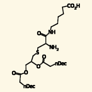 CCCCCCCCCCCC(=O)OCC(CSCC(N)C(=O)NCCCCCC(=O)O)OC(=O)CCCCCCCCCCC